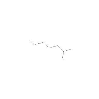 CCC(O)CSCCO